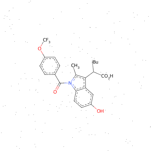 CCC(C)C(C(=O)O)c1c(C)n(C(=O)c2ccc(OC(F)(F)F)cc2)c2ccc(O)cc12